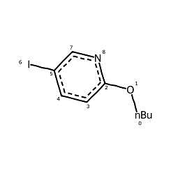 CCCCOc1ccc(I)cn1